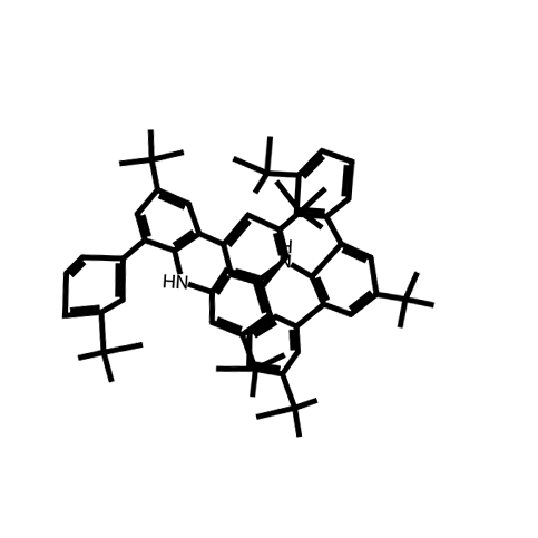 CC(C)(C)c1cc(Nc2c(-c3cccc(C(C)(C)C)c3)cc(C(C)(C)C)cc2-c2cccc(C(C)(C)C)c2)cc(Nc2c(-c3cccc(C(C)(C)C)c3)cc(C(C)(C)C)cc2-c2cccc(C(C)(C)C)c2)c1